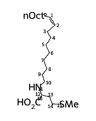 CCCCCCCC/C=C\CCCCCCCCN[C@@H](CCSC)C(=O)O